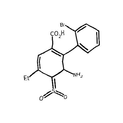 CCC1=CC(C(=O)O)=C(c2ccccc2Br)C(N)C1=S(=O)=O